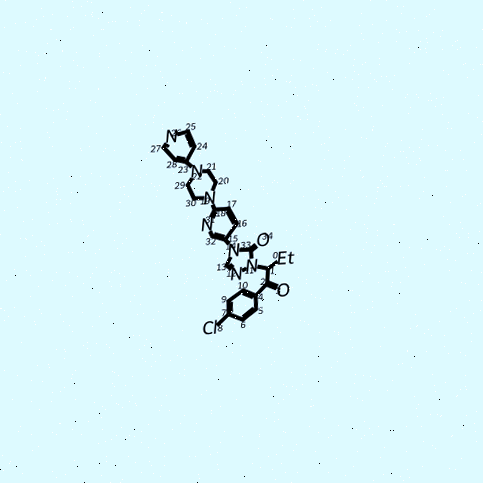 CCC(C(=O)c1ccc(Cl)cc1)n1ncn(-c2ccc(N3CCN(c4ccncc4)CC3)nc2)c1=O